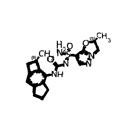 C[C@@H]1Cc2cc3c(c(NC(=O)N=S(N)(=O)c4cnn5c4O[C@@H](C)C5)c21)CCC3